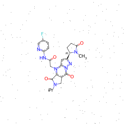 CC(C)N1Cc2c(n(CC(=O)Nc3ccc(F)cn3)c3cc([C@H]4CCC(=O)N4C)nn3c2=O)C1=O